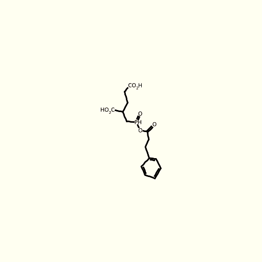 O=C(O)CCC(C[PH](=O)OC(=O)CCc1ccccc1)C(=O)O